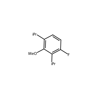 COc1c(C(C)C)ccc(F)c1C(C)C